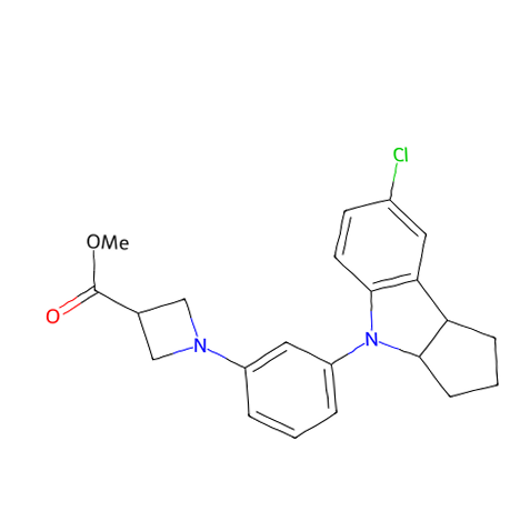 COC(=O)C1CN(c2cccc(N3c4ccc(Cl)cc4C4CCCC43)c2)C1